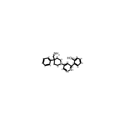 NCC1(c2ccccc2)CCN(c2cnnc(-c3ccccc3O)c2)CC1